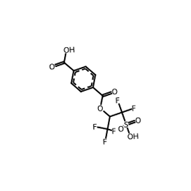 O=C(O)c1ccc(C(=O)OC(C(F)(F)F)C(F)(F)S(=O)(=O)O)cc1